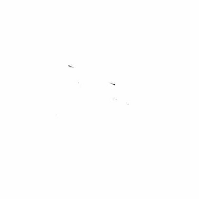 C[C@H]1CC[C@@H](C(=O)NN)CN1C(=O)OC(C)(C)C